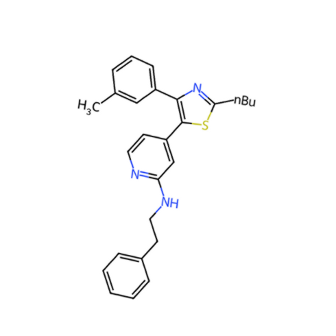 CCCCc1nc(-c2cccc(C)c2)c(-c2ccnc(NCCc3ccccc3)c2)s1